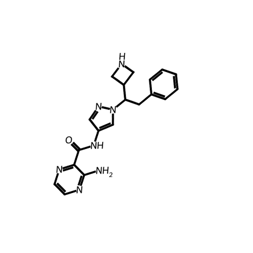 Nc1nccnc1C(=O)Nc1cnn(C(Cc2ccccc2)C2CNC2)c1